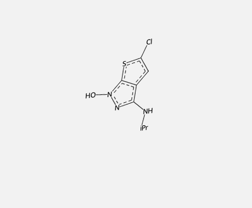 CC(C)Nc1nn(O)c2sc(Cl)cc12